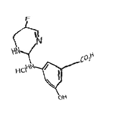 Cl.O=C(O)c1cc(O)cc(NC2N=CC(F)CN2)c1